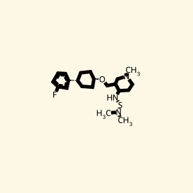 CN1CCC(NSN(C)C)C(CO[C@H]2CC[C@@H](c3cccc(F)c3)CC2)C1